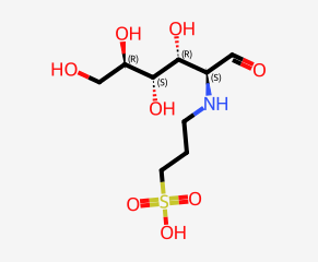 O=C[C@@H](NCCCS(=O)(=O)O)[C@@H](O)[C@H](O)[C@H](O)CO